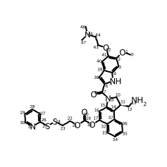 COc1cc2[nH]c(C(=O)N3C[C@@H](CN)c4c3cc(OC(=O)OCCSSc3ccccn3)c3ccccc43)cc2cc1OCCN(C)C